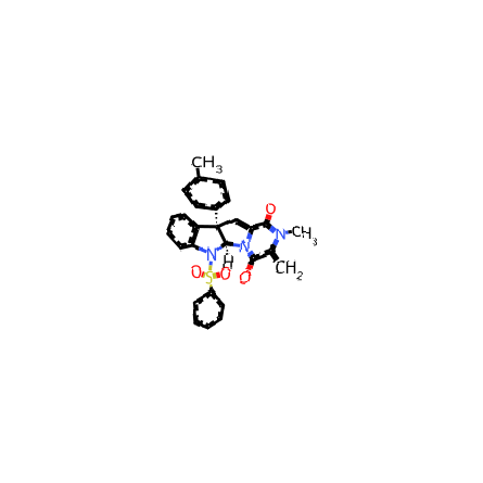 C=c1c(=O)n2c(c(=O)n1C)=C[C@]1(c3ccc(C)cc3)c3ccccc3N(S(=O)(=O)c3ccccc3)[C@H]21